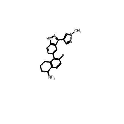 Cn1cc(-c2n[nH]c3cnc(-c4c(F)ccc5c4CCCC5N)cc23)cn1